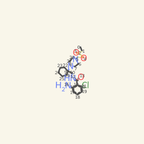 CCS(=O)(=O)N1CCN(C2(CNC(=O)c3c(N)cccc3Cl)CCCCC2)CC1